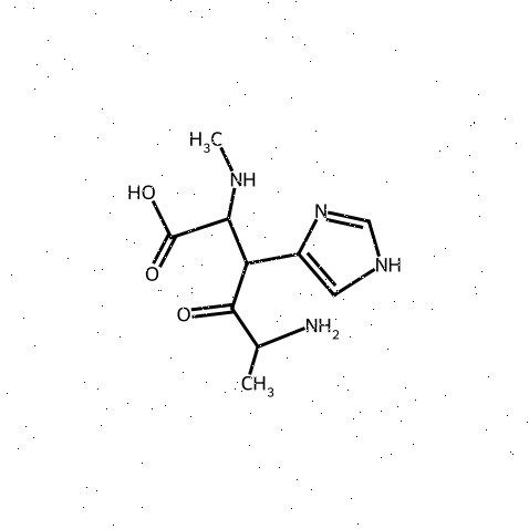 CNC(C(=O)O)C(C(=O)C(C)N)c1c[nH]cn1